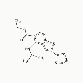 CCOC(=O)c1cnc2sc(-c3cncs3)cc2c1NC(C)C